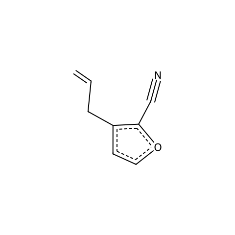 C=CCc1ccoc1C#N